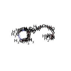 CO[C@H]1C[C@@H]2CC[C@@H](C)[C@@](O)(O2)C(=O)C(=O)N2CCCC[C@H]2C(=O)O[C@H]([C@H](N)C[C@@H]2CC[C@@H](OC(=O)NCc3cnc(N4CCN(CCOCCN5CCN(c6ncc(C(=O)N7CCc8cc(Cn9nc(-c%10cnc%11[nH]ccc%11c%10)c%10c(N)ncnc%109)ccc8C7)cn6)CC5)CC4)nc3)[C@H](OC)C2)CC(=O)[C@H](C)/C=C(\C)[C@@H](O)[C@@H](O)C(=O)[C@H](C)C[C@H](C)/C=C/C=C/C=C/1C